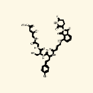 COC(=O)CC(O)CNC(=O)CNC(=O)C(CS)NC(=O)C(CCc1ccc(O)cc1)NC(=O)CCCNc1cccc2c1C(=O)N(C1CCC(=O)NC1=O)C2=O